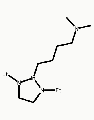 CC[N]1CC[N](CC)[In]1[CH2]CCCN(C)C